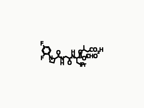 CC(C)CC(NC(=O)CNC(=O)C1CCN1c1ccc(F)cc1F)B(OC=O)OC(C)CC(=O)O